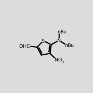 CCCCN(CCCC)c1sc(C=O)cc1[N+](=O)[O-]